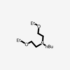 [CH2]CCCN(CCOCC)CCOCC